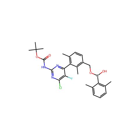 Cc1cccc(C)c1B(O)OCc1ccc(C)c(-c2nc(NC(=O)OC(C)(C)C)nc(Cl)c2F)c1C